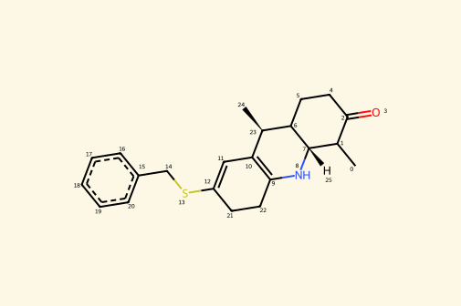 CC1C(=O)CCC2[C@H]1NC1=C(C=C(SCc3ccccc3)CC1)[C@H]2C